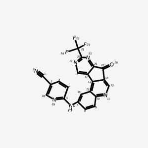 N#Cc1ccc(Nc2ccc3ncc4c(c3c2)-c2cnc(C(F)(F)F)nc2C4=O)nc1